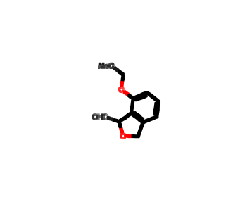 COCOc1cccc2c1C(C=O)OC2